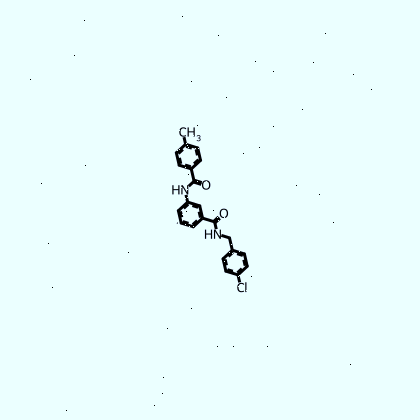 Cc1ccc(C(=O)Nc2c[c]cc(C(=O)NCc3ccc(Cl)cc3)c2)cc1